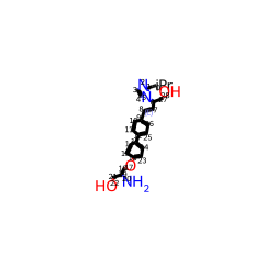 CC(C)c1nccn1C(/C=C/c1ccc(-c2ccc(OCC(N)CO)cc2)cc1)CO